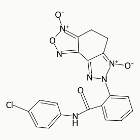 O=C(Nc1ccc(Cl)cc1)c1ccccc1-n1nc2c([n+]1[O-])CCc1c-2no[n+]1[O-]